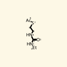 CCNC(=O)NCCSC(C)=O